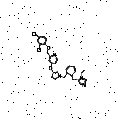 CCn1cncc1CC1C=CC=CC1CN1CCC(Oc2ccnc(COc3ccc(Cl)cc3Cl)c2)C1